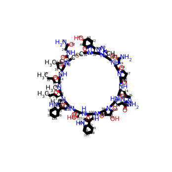 CCCC[C@H]1C(=O)N(C)[C@@H](CCCC)C(=O)N[C@@H](CC(C)C)C(=O)N[C@H](C(=O)NCC(N)=O)CSCC(=O)N[C@@H](Cc2ccc(O)cc2)c2nnnn2[C@@H](C)C(=O)N[C@@H](CC(N)=O)C(=O)N2CCC[C@H]2C(=O)N[C@@H](Cc2cnc[nH]2)C(=O)N[C@@H](CCC(N)=O)C(=O)N2C[C@H](O)C[C@H]2C(=O)N[C@@H](Cc2c[nH]c3ccccc23)C(=O)N[C@@H](CO)C(=O)N[C@@H](Cc2c[nH]c3ccccc23)C(=O)N1C